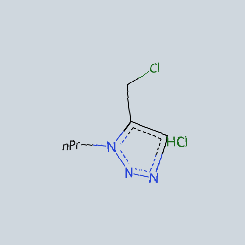 CCCn1nncc1CCl.Cl